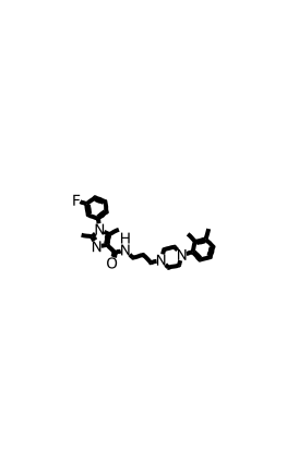 Cc1cccc(N2CCN(CCCNC(=O)c3nc(C)n(-c4cccc(F)c4)c3C)CC2)c1C